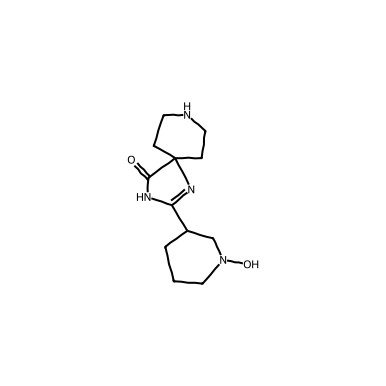 O=C1NC(C2CCCN(O)C2)=NC12CCNCC2